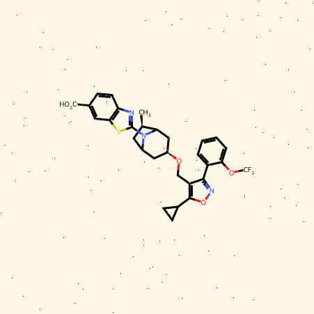 C[C@@H]1CC2C[C@H](OCc3c(-c4ccccc4OC(F)(F)F)noc3C3CC3)CC1N2c1nc2ccc(C(=O)O)cc2s1